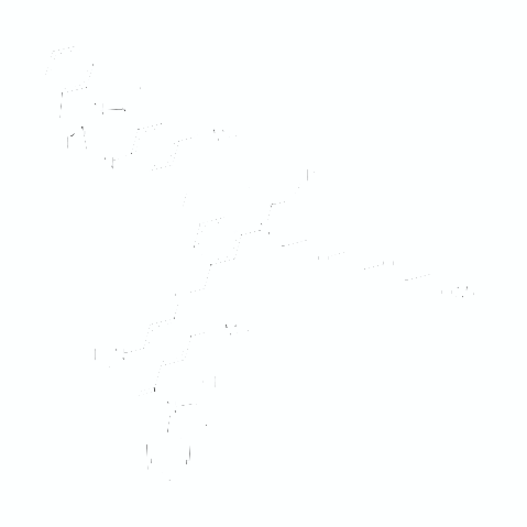 COCCOCCOCCN(C(=O)OC(C)(C)C)c1cc(COc2cc(N)c(C(=O)N3c4ccccc4C[C@H]3C)cc2OC)cc(COc2cc3c(cc2OC)C(=O)N2c4ccccc4C[C@H]2C=N3)c1